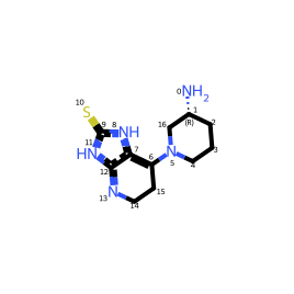 N[C@@H]1CCCN(C2=c3[nH]c(=S)[nH]c3=NCC2)C1